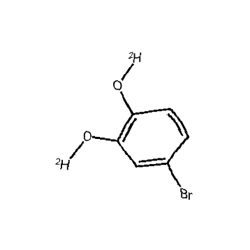 [2H]Oc1ccc(Br)cc1O[2H]